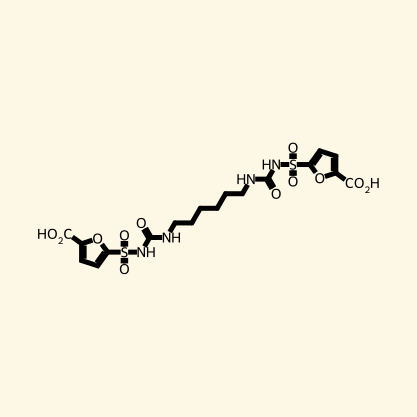 O=C(NCCCCCCNC(=O)NS(=O)(=O)c1ccc(C(=O)O)o1)NS(=O)(=O)c1ccc(C(=O)O)o1